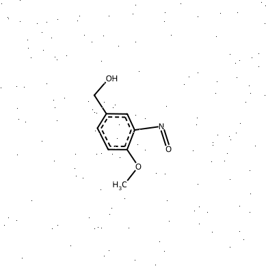 COc1ccc(CO)cc1N=O